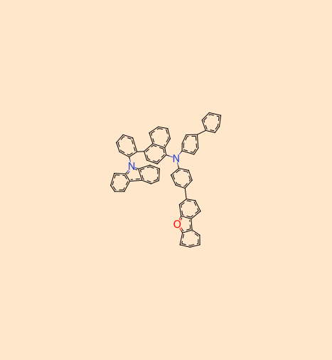 c1ccc(-c2ccc(N(c3ccc(-c4ccc5c(c4)oc4ccccc45)cc3)c3ccc(-c4ccccc4-n4c5ccccc5c5ccccc54)c4ccccc34)cc2)cc1